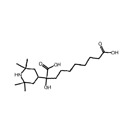 CC1(C)CC(C(O)(CCCCCCCC(=O)O)C(=O)O)CC(C)(C)N1